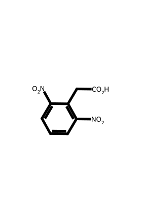 O=C(O)Cc1c([N+](=O)[O-])cccc1[N+](=O)[O-]